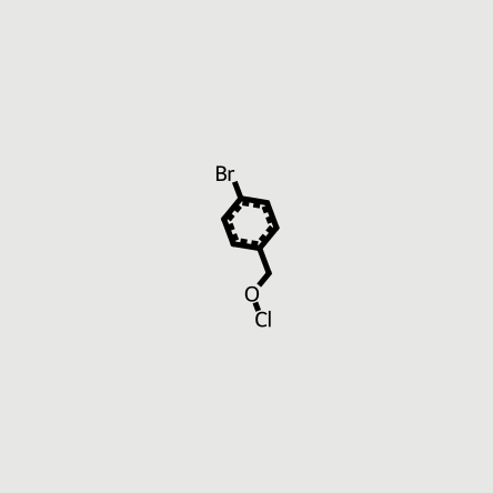 ClOCc1ccc(Br)cc1